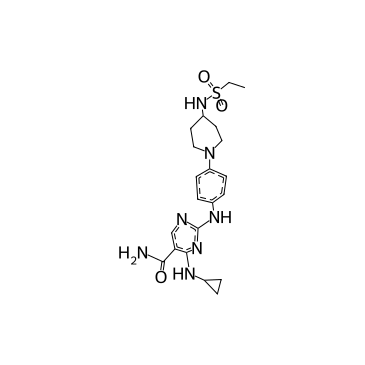 CCS(=O)(=O)NC1CCN(c2ccc(Nc3ncc(C(N)=O)c(NC4CC4)n3)cc2)CC1